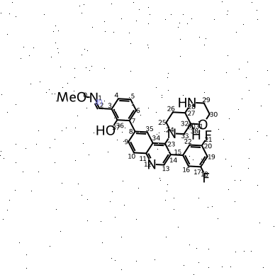 CO/N=C/c1cccc(-c2ccc3ncc(-c4cc(F)cc(F)c4)c(N4CCC5NCCO[C@@H]5C4)c3c2)c1O